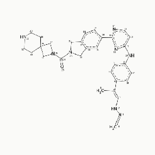 C=NN/C=C(\C)c1ccc(Nc2ccnc(-c3ccc4c(c3)CN(C(=O)N3CC5(CCNCC5)C3)C4)n2)cc1